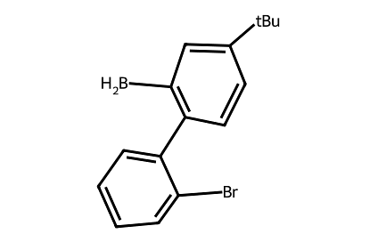 Bc1cc(C(C)(C)C)ccc1-c1ccccc1Br